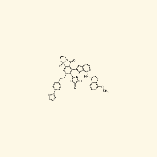 COc1cccc2c1CC[C@H]2Nc1nccc2cc(-c3c4c(nc(CCc5ccc(-n6cccn6)cc5)c3-c3n[nH]c(=O)o3)[C@@H]3CCCN3C4=O)sc12